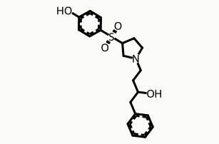 O=S(=O)(c1ccc(O)cc1)C1CCN(CCC(O)Cc2ccccc2)C1